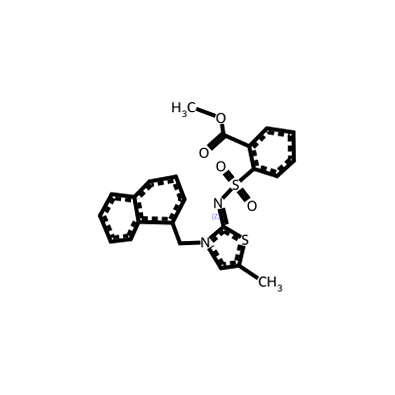 COC(=O)c1ccccc1S(=O)(=O)/N=c1\sc(C)cn1Cc1cccc2ccccc12